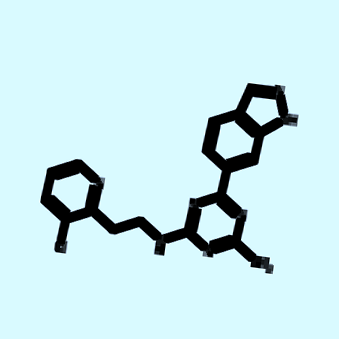 Nc1nc(NCCc2ncccc2Cl)nc(-c2ccc3cn[nH]c3c2)n1